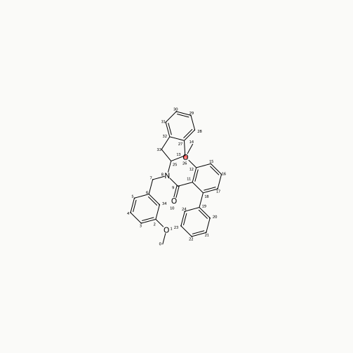 COc1cccc(CN(C(=O)c2c(OC)cccc2-c2ccccc2)C2Cc3ccccc3C2)c1